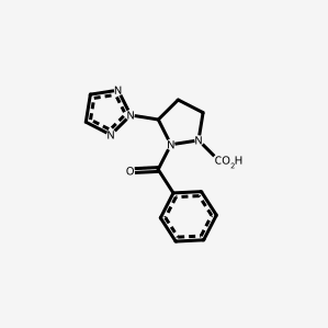 O=C(O)N1CCC(n2nccn2)N1C(=O)c1ccccc1